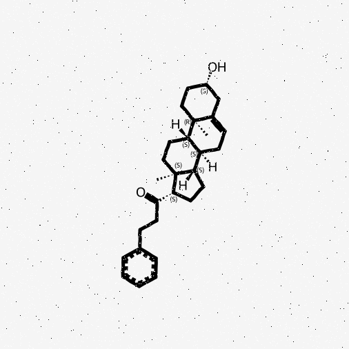 C[C@]12CC[C@H]3[C@@H](CC=C4C[C@@H](O)CC[C@@]43C)[C@@H]1CC[C@@H]2C(=O)CCc1ccccc1